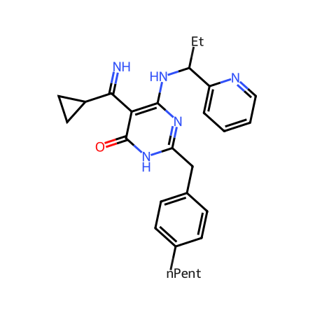 CCCCCc1ccc(Cc2nc(NC(CC)c3ccccn3)c(C(=N)C3CC3)c(=O)[nH]2)cc1